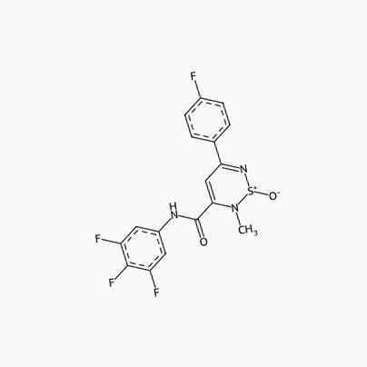 CN1C(C(=O)Nc2cc(F)c(F)c(F)c2)=CC(c2ccc(F)cc2)=N[S+]1[O-]